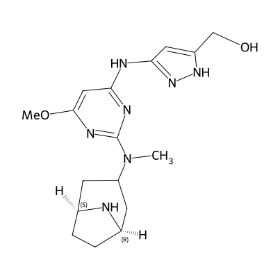 COc1cc(Nc2cc(CO)[nH]n2)nc(N(C)C2C[C@H]3CC[C@@H](C2)N3)n1